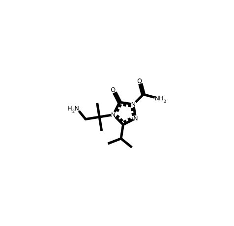 CC(C)c1nn(C(N)=O)c(=O)n1C(C)(C)CN